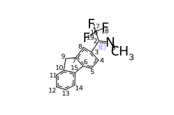 C/N=C(\c1ccc2c(c1)Cc1ccccc1-2)C(F)(F)F